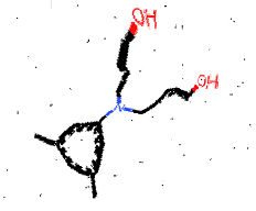 Cc1cc(C)cc(N(CC=CO)CC=CO)c1